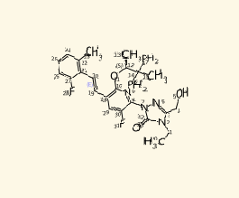 CCn1c(CO)nn(-c2nc(O[C@@H](C)C(C)(P)P)c(/C=C/c3c(C)cccc3F)cc2F)c1=O